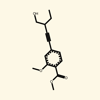 CCC(C#Cc1ccc(C(=O)OC)c(OC)c1)CO